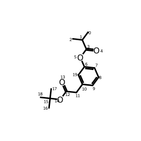 CC(C)C(=O)Oc1cccc(CC(=O)OC(C)(C)C)c1